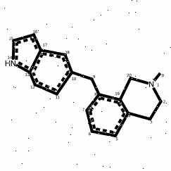 CN1CCc2cccc(Cc3ccc4[nH]ccc4c3)c2C1